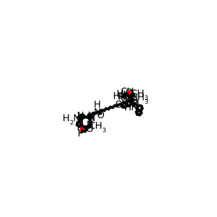 CN[C@@H](C)C(=O)N[C@H](C(=O)N1Cc2cc(OCCCCCCCCC(=O)NCCn3cc4c(n3)CN(C)C(=O)c3ccc(F)cc3[C@H]3CCCN3c3cc-4cnc3N)ccc2C[C@H]1C(=O)N[C@@H]1CCCc2ccccc21)C(C)(C)C